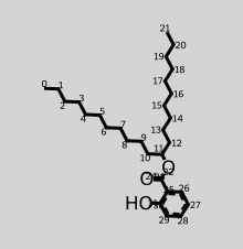 CCCCCCCCCCCC(CCCCCCCCCC)OC(=O)c1ccccc1O